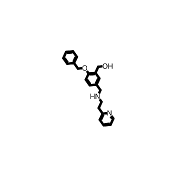 OCc1cc(CNCCc2ccccn2)ccc1OCc1ccccc1